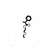 CCOCCOC(=O)C(C)c1ccccc1